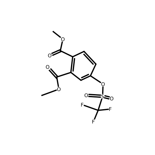 COC(=O)c1ccc(OS(=O)(=O)C(F)(F)F)cc1C(=O)OC